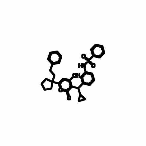 O=c1oc(C2(CCc3ccccc3)CCCC2)cc(O)c1C(c1cccc(NS(=O)(=O)c2ccccc2)c1)C1CC1